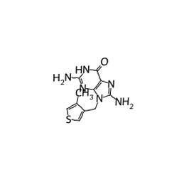 Cc1cscc1Cn1c(N)nc2c(=O)[nH]c(N)nc21